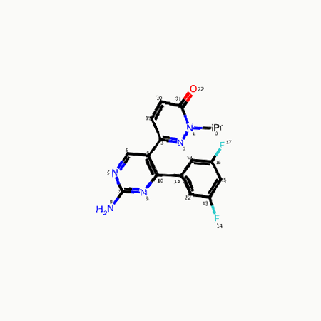 CC(C)n1nc(-c2cnc(N)nc2-c2cc(F)cc(F)c2)ccc1=O